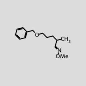 CON=CC(C)CCCOCc1ccccc1